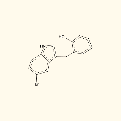 Oc1ccccc1Cc1c[nH]c2ccc(Br)cc12